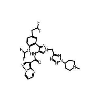 CN1CCC(n2nnc(Cn3cc(NC(=O)c4cnn5cccnc45)c(-c4cc(CC(F)F)ccc4OC(F)F)n3)n2)CC1